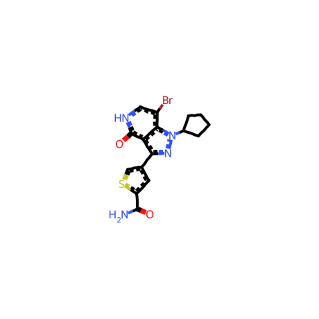 NC(=O)c1cc(-c2nn(C3CCCC3)c3c(Br)c[nH]c(=O)c23)cs1